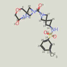 O=C1COCC2(CN(C(=O)N3CC4(CC(NS(=O)(=O)c5cccc(C(F)(F)F)c5)C4)C3)C2)N1